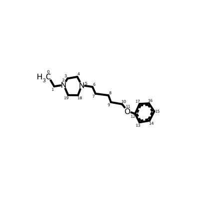 CCN1CCN(CCCCCOc2ccccc2)CC1